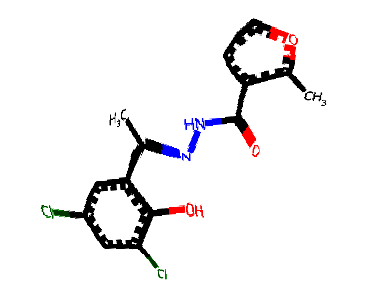 C/C(=N\NC(=O)c1ccoc1C)c1cc(Cl)cc(Cl)c1O